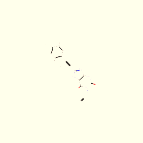 C#CCn1c(=O)c2[nH]c(C#Cc3cc(C)c(C)cc3C)nc2n(C)c1=O